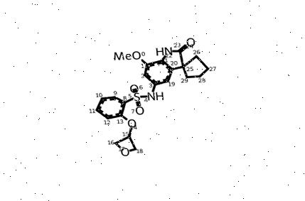 COc1cc(NS(=O)(=O)c2ccccc2OC2COC2)cc2c1NC(=O)C21CCCC1